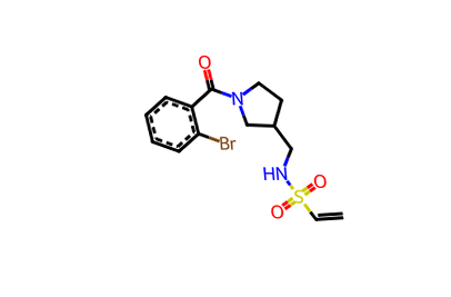 C=CS(=O)(=O)NCC1CCN(C(=O)c2ccccc2Br)C1